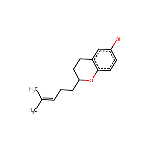 CC(C)=CCCC1CCc2cc(O)ccc2O1